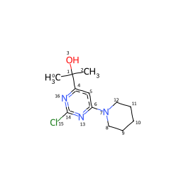 CC(C)(O)c1cc(N2CCCCC2)nc(Cl)n1